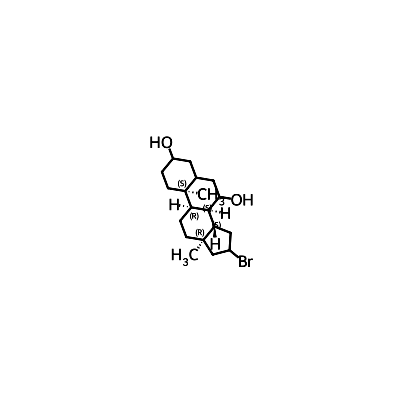 C[C@]12CC[C@@H]3[C@@H](C(O)CC4CC(O)CC[C@@]43C)[C@@H]1CC(Br)C2